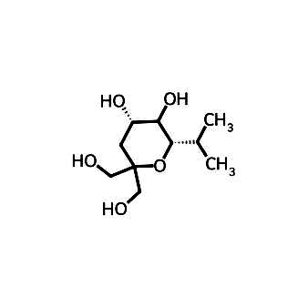 CC(C)[C@@H]1OC(CO)(CO)C[C@H](O)C1O